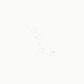 Cc1nc(CS(=O)(=O)c2ccc(CNC(=O)c3ccc(C)n(-c4cccc(C(F)(F)F)c4)c3=O)cc2)cs1